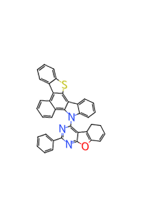 C1=Cc2oc3nc(-c4ccccc4)nc(-n4c5ccccc5c5c6sc7ccccc7c6c6ccccc6c54)c3c2CC1